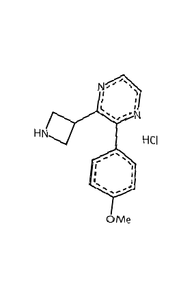 COc1ccc(-c2nccnc2C2CNC2)cc1.Cl